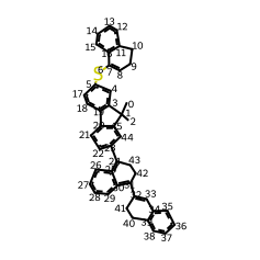 CC1(C)c2cc(SC3=CCCc4ccccc43)ccc2-c2ccc(C3=c4ccccc4=C(C4=Cc5ccccc5CC4)CC3)cc21